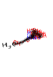 CCC(O)CCCCCCCCCCCCCCC(=O)NCCc1c[nH]c2ccc(O[C@H]3O[C@H](CO[C@H]4O[C@H](CO)[C@@H](O)[C@H](O)[C@H]4O)[C@@H](O)[C@H](O)[C@H]3O)cc12